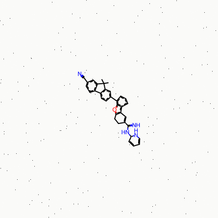 CC1(C)c2cc(C#N)ccc2-c2ccc(-c3cccc4c5c(oc34)CCC(C(=N)NC3C=CC=CN3)=C5)cc21